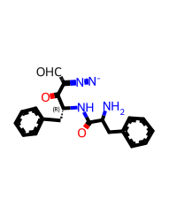 [N-]=[N+]=C(C=O)C(=O)[C@@H](Cc1ccccc1)NC(=O)C(N)Cc1ccccc1